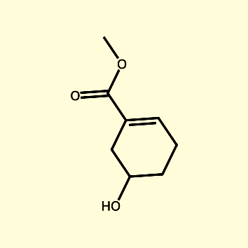 COC(=O)C1=CCCC(O)C1